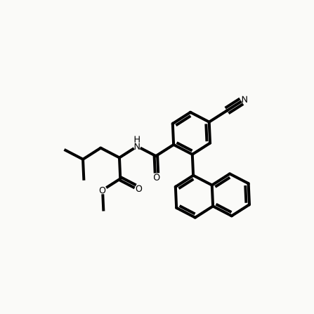 COC(=O)C(CC(C)C)NC(=O)c1ccc(C#N)cc1-c1cccc2ccccc12